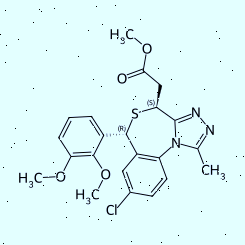 COC(=O)C[C@@H]1S[C@@H](c2cccc(OC)c2OC)c2cc(Cl)ccc2-n2c(C)nnc21